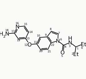 CCC(CC)NC(=O)n1ccc2cc(Oc3ccnc(N)c3)ccc21